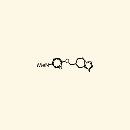 CNc1ccc(OCC2CCn3ccnc3C2)nc1